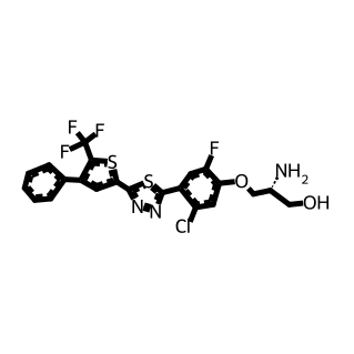 N[C@H](CO)COc1cc(Cl)c(-c2nnc(-c3cc(-c4ccccc4)c(C(F)(F)F)s3)s2)cc1F